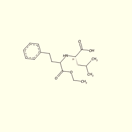 CCOC(=O)C(CCc1ccccc1)N[C@@H](CC(C)C)C(=O)O